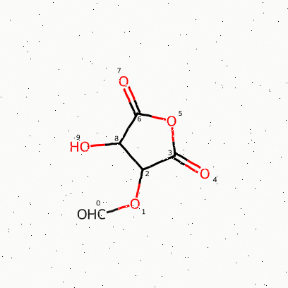 O=COC1C(=O)OC(=O)C1O